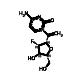 C=C([C@@H]1O[C@H](CO)[C@@H](O)[C@@H]1F)n1ccc(N)nc1=O